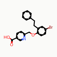 O=C(O)c1ccc(COc2ccc(Br)cc2CCc2ccccc2)nc1